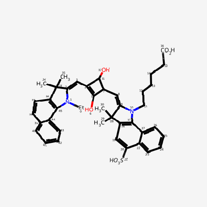 CCN1C(=CC2=C(O)C(C=C3N(CCCCCC(=O)O)c4c(cc(S(=O)(=O)O)c5ccccc45)C3(C)C)C2O)C(C)(C)c2ccc3ccccc3c21